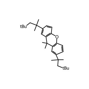 CC(C)(C)CC(C)(C)c1ccc2c(c1)C(C)(C)c1cc(C(C)(C)CC(C)(C)C)ccc1O2